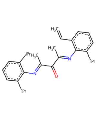 C=Cc1cccc(C(C)C)c1/N=C(\C)C(=O)/C(C)=N/c1c(C(C)C)cccc1C(C)C